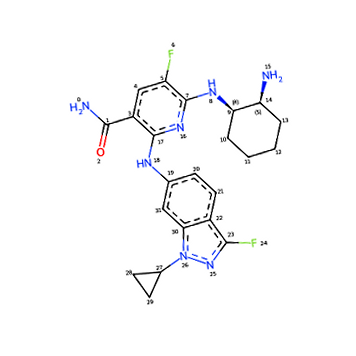 NC(=O)c1cc(F)c(N[C@@H]2CCCC[C@@H]2N)nc1Nc1ccc2c(F)nn(C3CC3)c2c1